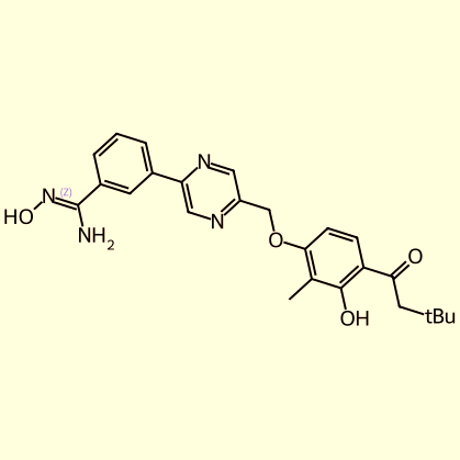 Cc1c(OCc2cnc(-c3cccc(/C(N)=N/O)c3)cn2)ccc(C(=O)CC(C)(C)C)c1O